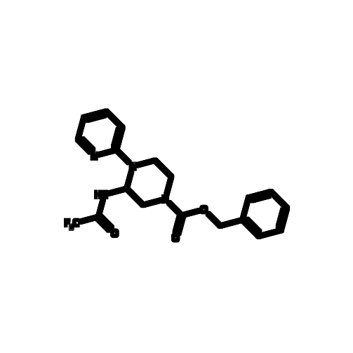 O=C(OCc1ccccc1)N1CCN(c2ccccn2)C(NC(=O)C(F)(F)F)C1